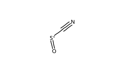 N#C[S+]=O